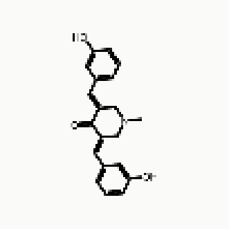 CN1C/C(=C\c2cccc(O)c2)C(=O)/C(=C/c2cccc(O)c2)C1